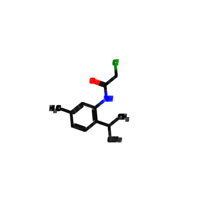 COC(C)c1ccc(C)cc1NC(=O)CCl